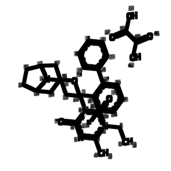 CCn1c(C)nc(=O)n(CCCN2C3CCC2CC(OCc2c(F)cccc2-c2ccccc2)C3)c1=O.O=C(O)C(=O)O